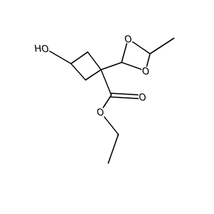 CCOC(=O)C1(C2OC(C)O2)CC(O)C1